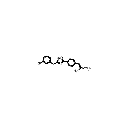 C/C(=C\c1ccc(-c2nc(Cc3cccc(Cl)c3)no2)cc1)C(=O)O